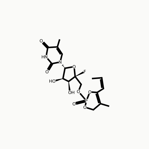 C/C=C\C1=C(C)COP(=O)(OC[C@@]2(F)O[C@@H](n3cc(C)c(=O)[nH]c3=O)[C@H](O)[C@@H]2O)O1